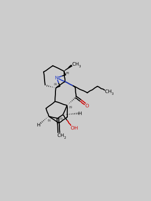 C=C1[C@H]2CC[C@@]3(C(=O)CC4[C@@]5(C)CCC[C@@]4(CN(CCC)C5)C3C2)[C@H]1O